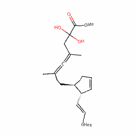 CCCCCCC=C[C@H]1C=CC[C@@H]1CC(C)=C=C(C)CC(O)(O)C(=O)OC